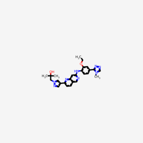 CCOc1cc(-c2nncn2C)ccc1Nc1cc2nc(-c3cnn(CC(C)(C)O)c3)ccc2cn1